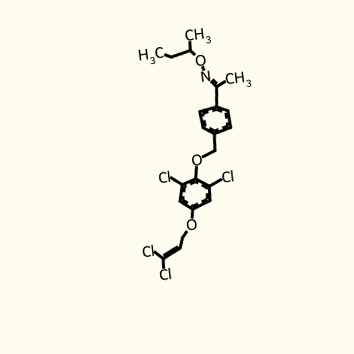 CCC(C)ON=C(C)c1ccc(COc2c(Cl)cc(OCC=C(Cl)Cl)cc2Cl)cc1